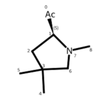 CC(=O)[C@@H]1CC(C)(C)CN1C